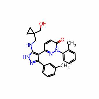 Cc1cccc(-c2n[nH]c(NCC3(CO)CC3)c2-c2ccc(=O)n(-c3ccccc3C)n2)c1